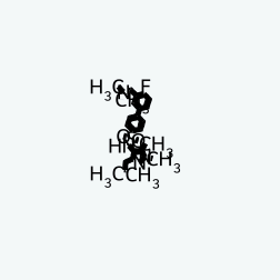 Cc1c(NS(=O)(=O)c2ccc(-c3ccc(F)c(CN(C)C)c3)cc2)c(CC(C)C)nn1C